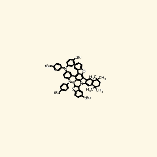 CC(C)(C)c1ccc(N2B3c4sc5ccc(C(C)(C)C)cc5c4-n4c5cc6c(cc5c5c7oc8ccccc8c7c(c3c54)-c3cc(N(c4ccc(C(C)(C)C)cc4)c4ccc(C(C)(C)C)cc4)ccc32)C(C)(C)CCC6(C)C)cc1